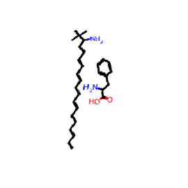 CCCCCCCCCCCCCCCCC(N)C(C)(C)C.NC(Cc1ccccc1)C(=O)O